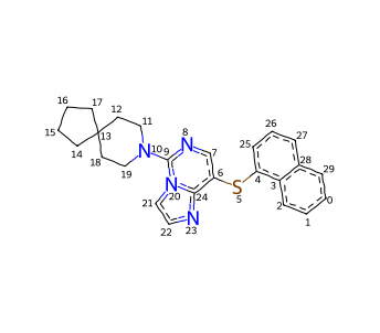 c1ccc2c(Sc3cnc(N4CCC5(CCCC5)CC4)n4ccnc34)cccc2c1